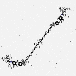 C/C(=C\c1cc(F)c(Oc2ccc(S(=O)(=O)NCCOCCOCCOCCNC(=O)CCC(=O)NCCOCCOCCOCCNS(=O)(=O)c3ccc(Oc4c(F)cc(/C=C(\C)C(=O)N=C(N)N)cc4F)cc3)cc2)c(F)c1)C(=O)N=C(N)N